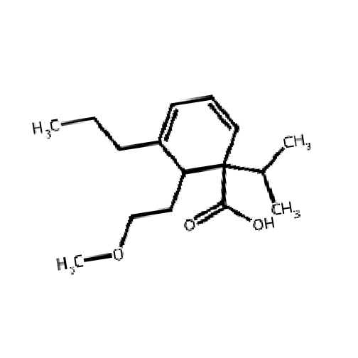 CCCC1=CC=CC(C(=O)O)(C(C)C)C1CCOC